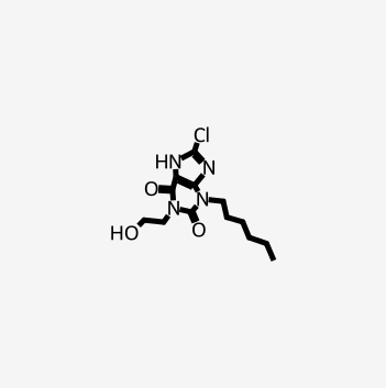 CCCCCCn1c(=O)n(CCO)c(=O)c2[nH]c(Cl)nc21